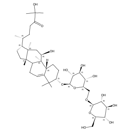 C[C@H](CCC(=O)C(C)(C)O)[C@H]1CC[C@@]2(C)C3CC=C4[C@@H](CC[C@H](O[C@@H]5O[C@H](CO[C@@H]6O[C@H](CO)[C@@H](O)[C@H](O)[C@H]6O)[C@@H](O)[C@H](O)[C@H]5O)C4(C)C)[C@]3(C)[C@H](O)C[C@]12C